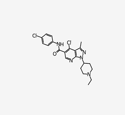 CCN1CCC(n2nc(C)c3c(Cl)c(C(=O)Nc4ccc(Cl)cc4)cnc32)CC1